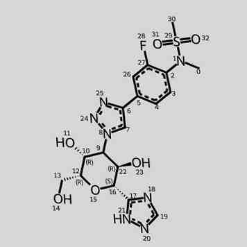 CN(c1ccc(-c2cn(C3[C@@H](O)[C@@H](CO)O[C@@H](c4ncn[nH]4)[C@@H]3O)nn2)cc1F)S(C)(=O)=O